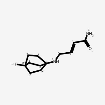 NC(=O)C=CCNC12CCC(F)(CC1)CC2